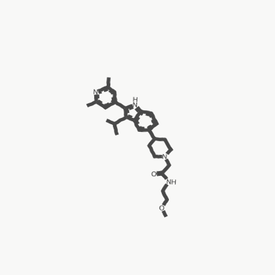 COCCNC(=O)CN1CCC(c2ccc3[nH]c(-c4cc(C)nc(C)c4)c(C(C)C)c3c2)CC1